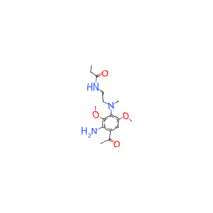 CCC(=O)NCCN(C)c1c(OC)cc(C(C)=O)c(N)c1OC